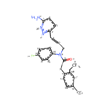 Nc1ccc(C#CCN(C(=O)Cc2ccc(C(F)(F)F)cc2C(F)(F)F)c2ccc(F)cc2)nn1